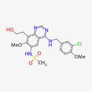 COc1ccc(CNc2ncnc3c(CCO)c(OC)c(NS(C)(=O)=O)cc23)cc1Cl